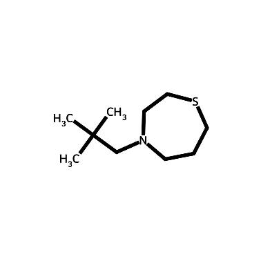 CC(C)(C)CN1CCCSCC1